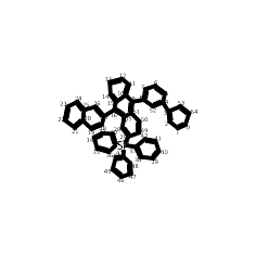 c1ccc(-c2cccc(-c3c4ccccc4c(-c4ccc5ccccc5c4)c4cc([Si](c5ccccc5)(c5ccccc5)c5ccccc5)ccc34)c2)cc1